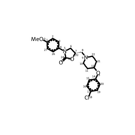 COc1ccc(N2C[C@H](CN3CCC(Oc4ccc(Cl)cc4)CC3)OC2=O)cc1